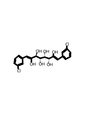 OC(=Cc1cccc(Cl)c1)[C@@H](O)[C@@H](O)[C@H](O)[C@@H](O)C(O)=Cc1cccc(Cl)c1